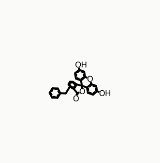 O=C1OC2(c3ccc(O)cc3Oc3cc(O)ccc32)c2cccc(Cc3ccccc3)c21